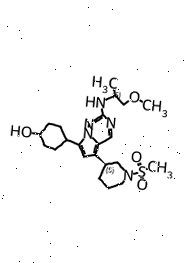 COC[C@H](C)Nc1ncc2c([C@@H]3CCCN(S(C)(=O)=O)C3)cc(C3CCC(O)CC3)n2n1